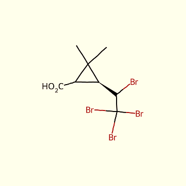 CC1(C)C(C(=O)O)[C@@H]1C(Br)C(Br)(Br)Br